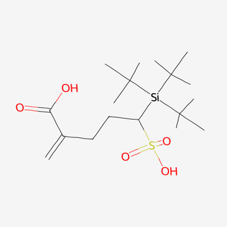 C=C(CCC([Si](C(C)(C)C)(C(C)(C)C)C(C)(C)C)S(=O)(=O)O)C(=O)O